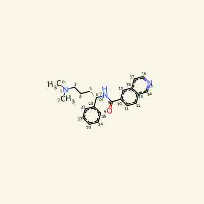 CN(C)CCC[C@H](NC(=O)c1ccc2cnccc2c1)c1ccccc1